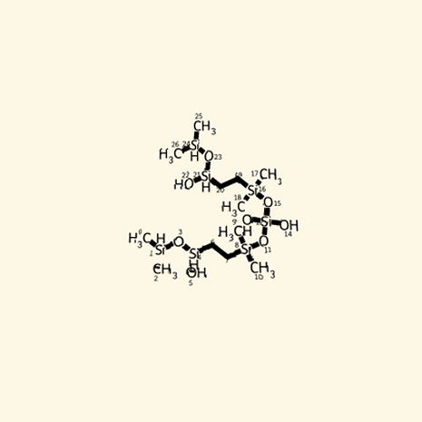 C[SiH](C)O[SiH](O)CC[Si](C)(C)O[Si](O)(O)O[Si](C)(C)CC[SiH](O)O[SiH](C)C